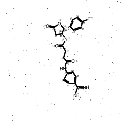 N=C(N)c1ccc(NC(=O)CCC(=O)N[C@H]2CC(=O)O[C@@H]2c2ccc(F)cc2)cc1